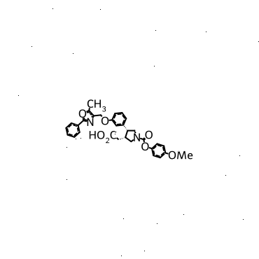 COc1ccc(OC(=O)N2C[C@H](CC(=O)O)[C@H](c3cccc(OCc4nc(-c5ccccc5)oc4C)c3)C2)cc1